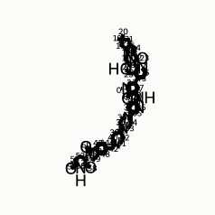 Cn1cc(-c2ccnc(N3CCn4c(cc5c4CC(C)(C)C5)C3=O)c2CO)cc(Nc2ccc(N3CCN(C4CCN(Cc5ccc6c(c5)CN(C5CCC(=O)NC5=O)C6=O)CC4)CC3)cn2)c1=O